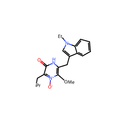 CCn1cc(Cc2[nH]c(=O)c(CC(C)C)[n+]([O-])c2OC)c2ccccc21